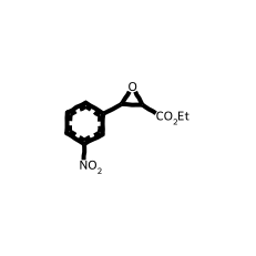 CCOC(=O)C1OC1c1cccc([N+](=O)[O-])c1